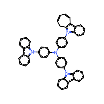 C1=CCc2c(c3ccccc3n2-c2ccc(N(c3ccc(-n4c5ccccc5c5ccccc54)cc3)c3ccc(-n4c5ccccc5c5ccccc54)cc3)cc2)C=C1